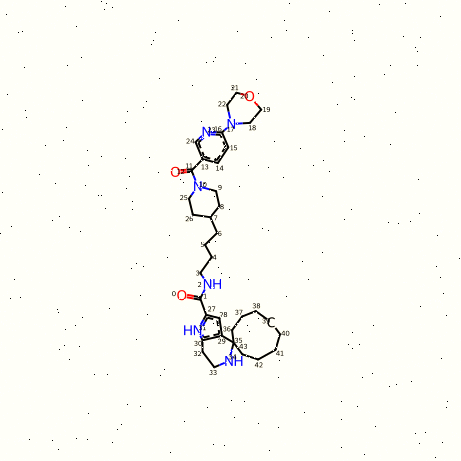 O=C(NCCCCC1CCN(C(=O)c2ccc(N3CCOCC3)nc2)CC1)c1cc2c([nH]1)CCNC21CCCCCCCC1